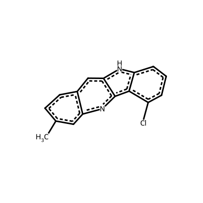 Cc1ccc2cc3[nH]c4cccc(Cl)c4c3nc2c1